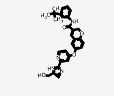 CC(C)(C)c1cccc(NC(=O)C2=Cc3cc(Oc4ccnc(-c5ncc(CO)[nH]5)c4)ccc3OC2)c1